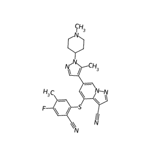 Cc1cc(Sc2cc(-c3cnn(C4CCN(C)CC4)c3C)cn3ncc(C#N)c23)c(C#N)cc1F